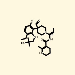 C/C=C(/NC(=O)C1=C(C)NCCC1)N1CCC(C=O)(c2c(Cl)ccc(CC)c2NCC(C)(C)O)CC1